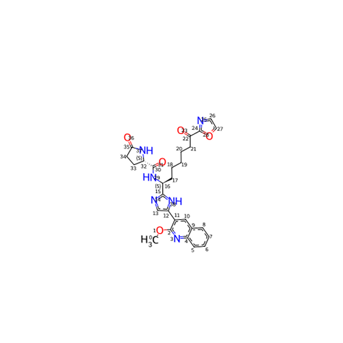 COc1nc2ccccc2cc1-c1cnc([C@H](CCCCCC(=O)c2ncco2)NC(=O)[C@@H]2CCC(=O)N2)[nH]1